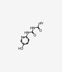 CCCC(=O)NC(=O)Nc1ccc(O)cn1